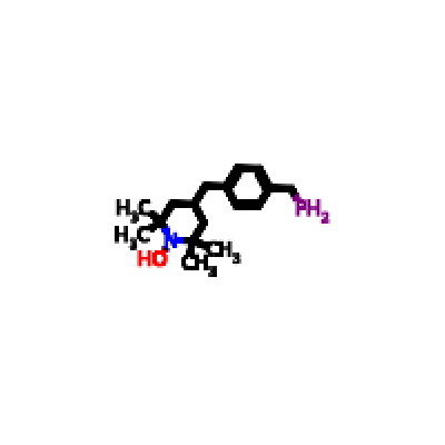 CC1(C)CC(Cc2ccc(CP)cc2)CC(C)(C)N1O